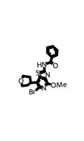 COc1nc(Br)c(C2CCOCC2)c2sc(NC(=O)c3ccccc3)nc12